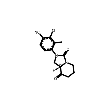 Cc1c(N2C[C@H]3C(=O)CCCN3C2=O)ccc(C#N)c1Cl